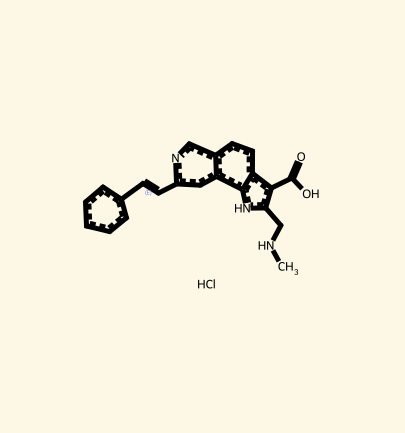 CNCc1[nH]c2c(ccc3cnc(/C=C/c4ccccc4)cc32)c1C(=O)O.Cl